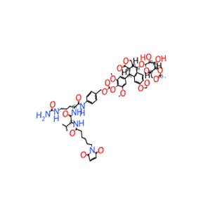 COc1cc([C@@H]2c3cc4c(cc3[C@@H](OC3O[C@@H]5CO[C@@H](C)O[C@H]5[C@H](O)[C@H]3O)[C@H]3COC(=O)[C@H]23)OCO4)cc(OC)c1OC(=O)OCc1ccc(NC(=O)[C@H](CCCNC(N)=O)NC(=O)[C@@H](NC(=O)CCCCCN2C(=O)C=CC2=O)C(C)C)cc1